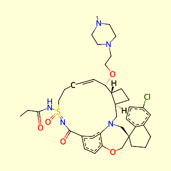 CCC(=O)NS1(=O)=NC(=O)c2ccc3c(c2)N(C[C@@H]2CC[C@H]2[C@@H](OCCN2CCN(C)CC2)/C=C/CCC1)C[C@@]1(CCCc2cc(Cl)ccc21)CO3